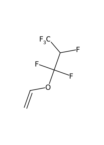 C=COC(F)(F)C(F)C(F)(F)F